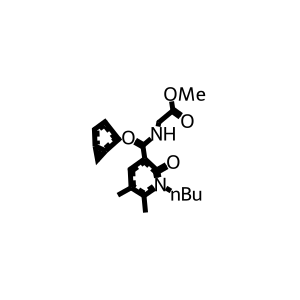 CCCCn1c(C)c(C)cc(C(=O)NCC(=O)OC)c1=O.c1cc2cc-2c1